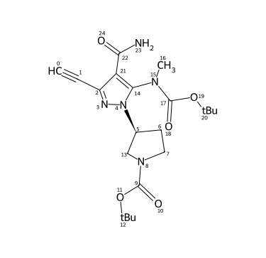 C#Cc1nn([C@H]2CCN(C(=O)OC(C)(C)C)C2)c(N(C)C(=O)OC(C)(C)C)c1C(N)=O